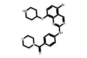 O=C(c1ccc(Nc2ncc3c(Br)ccc(OC4CCNCC4)c3n2)cc1)N1CCOCC1